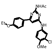 CCOc1ccc(-c2cc(Nc3ccc(OC)c(Cl)c3)nc(NC(C)=O)n2)cc1